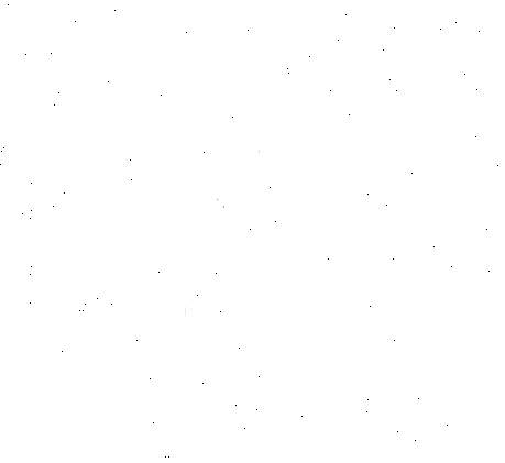 Clc1cc(Cl)c(CBr)cn1